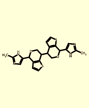 Cc1ncc(C2OCC(C3COC(c4cnc(C)[nH]4)c4sccc43)c3sccc32)[nH]1